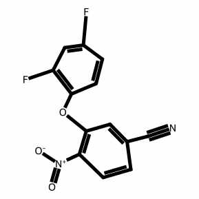 N#Cc1ccc([N+](=O)[O-])c(Oc2ccc(F)cc2F)c1